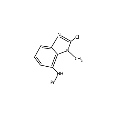 CC(C)Nc1cccc2nc(Cl)n(C)c12